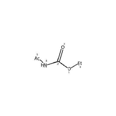 CCOC(=O)NC(C)=O